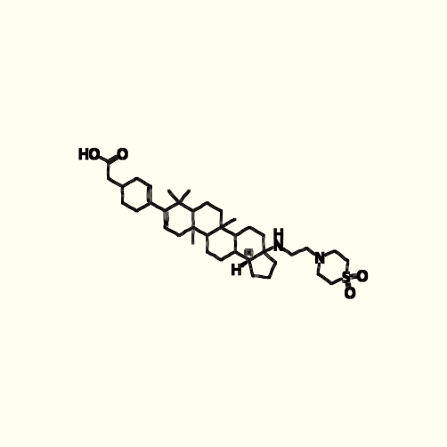 CC1(C)C(C2=CCC(CC(=O)O)CC2)=CCC2(C)C1CCC1(C)C3CCC4(NCCN5CCS(=O)(=O)CC5)CCC[C@@H]4C3CCC12